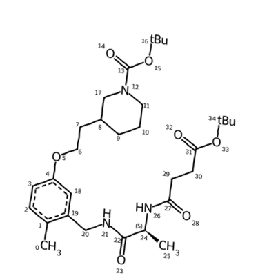 Cc1ccc(OCCC2CCCN(C(=O)OC(C)(C)C)C2)cc1CNC(=O)[C@H](C)NC(=O)CCC(=O)OC(C)(C)C